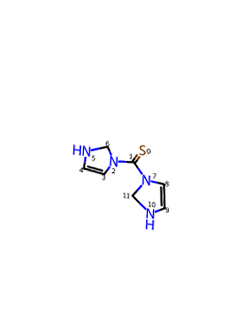 S=C(N1C=CNC1)N1C=CNC1